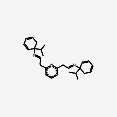 CC(C)C1(N=CCc2cccc(CC=NC3(C(C)C)C=CC=CC3)n2)C=CC=CC1